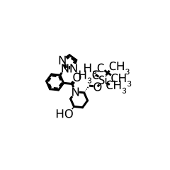 CC(C)(C)[Si](C)(C)OC[C@@H]1CC[C@H](O)CN1C(=O)c1ccccc1-n1nccn1